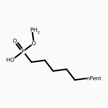 CCCCCCCCCCP(=O)(O)OP